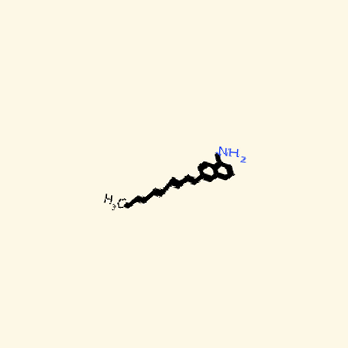 CCCCCCCCCCc1ccc2c(CN)cccc2c1